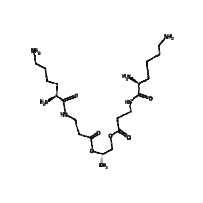 C[C@@H](COC(=O)CCNC(=O)[C@@H](N)CCCCN)OC(=O)CCNC(=O)[C@@H](N)CCCCN